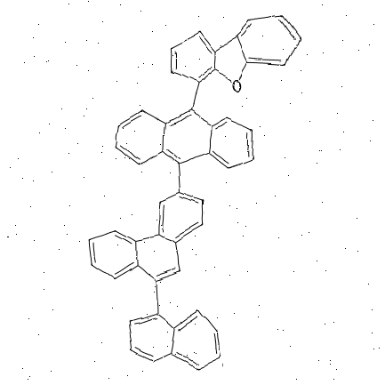 c1ccc2c(-c3cc4ccc(-c5c6ccccc6c(-c6cccc7c6oc6ccccc67)c6ccccc56)cc4c4ccccc34)cccc2c1